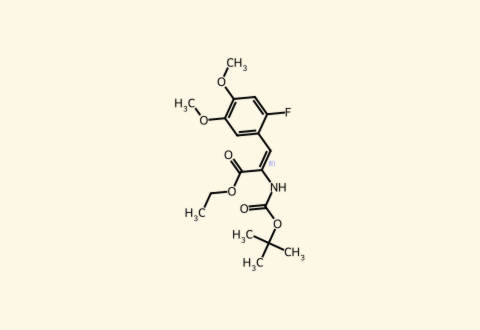 CCOC(=O)/C(=C\c1cc(OC)c(OC)cc1F)NC(=O)OC(C)(C)C